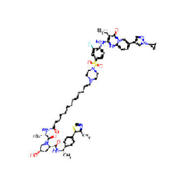 Cc1ncsc1-c1ccc([C@H](C)NC(=O)[C@@H]2C[C@@H](O)CN2C(=O)[C@@H](NC(=O)CCCCCCCCCCCCN2CCN(S(=O)(=O)c3ccc(Nc4nc5ccc(-c6cnn(C7CC7)c6)cn5c(=O)c4C)c(F)c3)CC2)C(C)(C)C)cc1